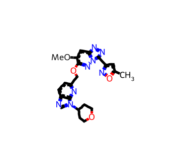 COc1cc2nnc(-c3cc(C)on3)n2nc1OCc1ccc2ncn(C3CCOCC3)c2n1